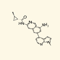 C[C@@H]1C[C@H]1C(=O)Nc1cc2cc(-c3ccnc4c3ccn4C)cc(N)c2cn1